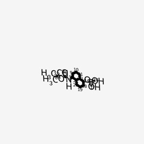 CC(C)(C)OC(=O)Nc1cccc2c(OB(O)O)cccc12